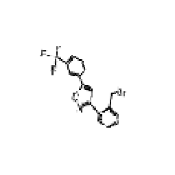 FC(F)(F)c1cccc(-c2cc(-c3ccccc3CBr)no2)c1